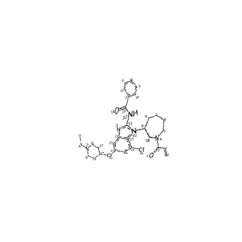 C=CC(=O)N1CCCCC(n2c(NC(=O)c3ccccc3)nc3cc(OC4CCN(CC)CC4)cc(Cl)c32)C1